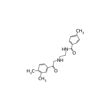 Cc1ccc(C(=O)NCCNCC(=O)c2ccc(C)c(C)c2)cc1